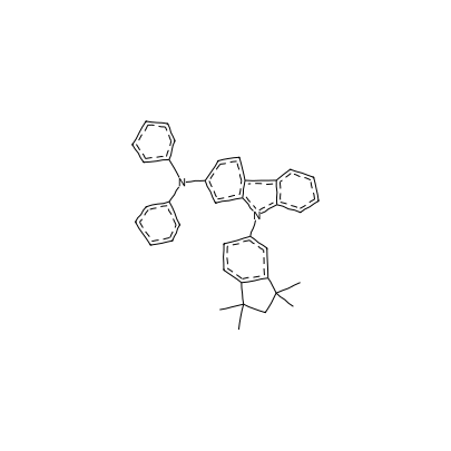 CC1(C)CC(C)(C)c2cc(-n3c4ccccc4c4ccc(N(c5ccccc5)c5ccccc5)cc43)ccc21